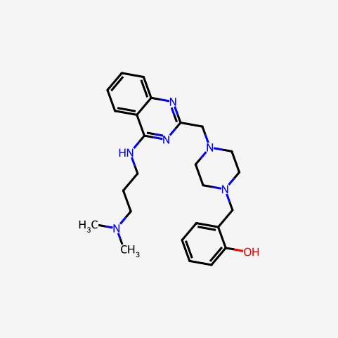 CN(C)CCCNc1nc(CN2CCN(Cc3ccccc3O)CC2)nc2ccccc12